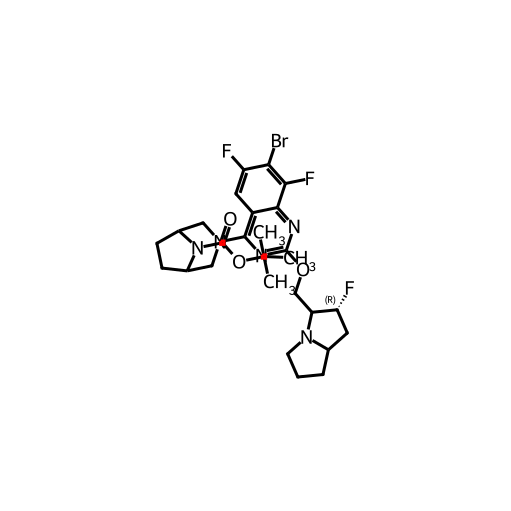 CC(C)(C)OC(=O)N1C2CCC1CN(c1nc(OCC3[C@H](F)CC4CCCN43)nc3c(F)c(Br)c(F)cc13)C2